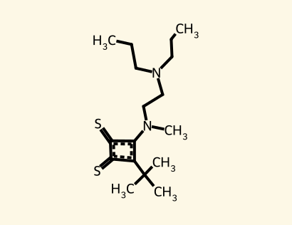 CCCN(CCC)CCN(C)c1c(C(C)(C)C)c(=S)c1=S